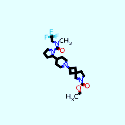 CCOC(=O)N1CCC2(CC(N3CCC(C4CCCN4C(=O)N(C)CC(F)(F)F)CC3)C2)C1